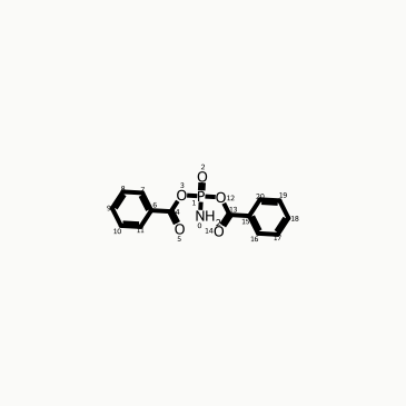 NP(=O)(OC(=O)c1ccccc1)OC(=O)c1ccccc1